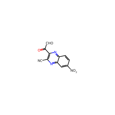 N#Cc1nc2cc([N+](=O)[O-])ccc2nc1C(=O)C=O